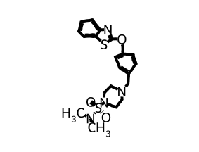 CN(C)S(=O)(=O)N1CCN(Cc2ccc(Oc3nc4ccccc4s3)cc2)CC1